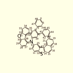 c1ccc(-c2ccc(N(c3ccc4sc5ccc6ccccc6c5c4c3)c3cccc4oc5ccccc5c34)cc2-c2ccccc2)cc1